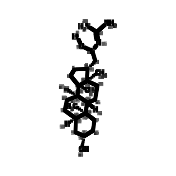 CCON(C[C@H]1CC[C@]2(O)[C@@H]3CC[C@@H]4C[C@@H](O)CC[C@]4(C)[C@H]3CC[C@]12C)N=C(N)N